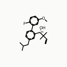 C=CC(C)(C)[C@@H](O)c1cc(CC(C)C)ccc1-c1cc(OC)ccc1F